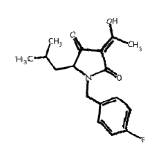 C/C(O)=C1/C(=O)C(CC(C)C)N(Cc2ccc(F)cc2)C1=O